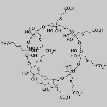 CC(O)C(O)C1OC2OC(CSCCC(=O)O)C(OC3OC(CSCCC(=O)O)C(OC4OC(CSCCC(=O)O)C(OC5OC(CSCCC(=O)O)C(OC6OC(CSCCC(=O)O)C(OC7OC(CSCCC(=O)O)C(OC8OC(CSCCC(=O)O)C(OOC1CSCCC(=O)O)C(O)C8O)C(O)C7O)C(O)C6O)C(O)C5O)C(O)C4O)C(O)C3O)C(O)C2O